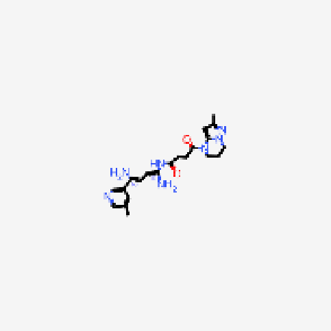 Cc1cncc(/C(N)=C/C=C(\N)NC(=O)CCC(=O)N2CCCn3nc(C)cc32)c1